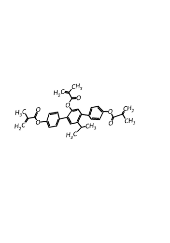 C=C(C)C(=O)Oc1ccc(-c2cc(C(C)C)c(-c3ccc(OC(=O)C(=C)C)cc3)cc2OC(=O)C(=C)C)cc1